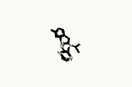 Cc1ccc2c(c1)N1c3nccnc3N(C(C)C)C1C2